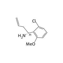 C=CC[C@@H](N)c1c(Cl)cccc1OC